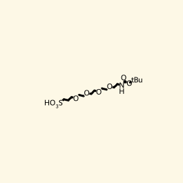 CC(C)(C)OC(=O)NCCOCCOCCOCCOCCCS(=O)(=O)O